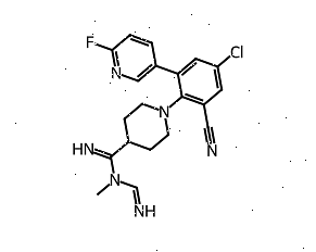 CN(C=N)C(=N)C1CCN(c2c(C#N)cc(Cl)cc2-c2ccc(F)nc2)CC1